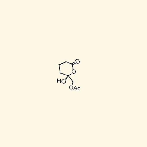 CC(=O)OC[C@]1(O)CCCC(=O)O1